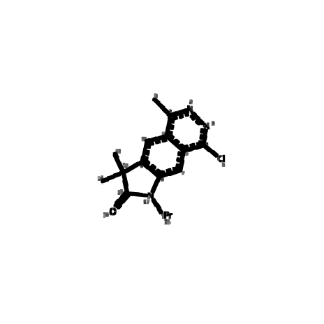 Cc1nnc(Cl)c2cc3c(cc12)C(C)(C)C(=O)N3C(C)C